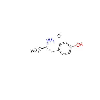 N[C@@H](Cc1ccc(O)cc1)C(=O)O.[C]